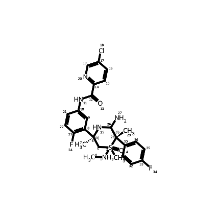 CNS1(C)(=O)C[C@@](C)(c2cc(NC(=O)c3ccc(Cl)cn3)ccc2F)NC(N)[C@]1(C)c1ccc(F)cc1